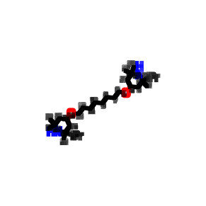 CC(C)C1(C)CC(OCCCCCCCCOC2CC(C)(C)NC(C)(C(C)C)C2)CC(C)(C)N1